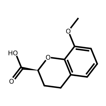 COc1cccc2c1O[C@H](C(=O)O)CC2